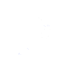 Cc1nn(-c2ccccc2)c2cc(C3CCC(N4CCNCC4)CC3)ccc12